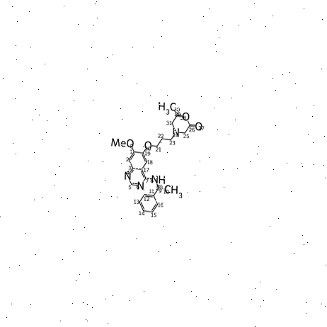 COc1cc2ncnc(N[C@H](C)c3ccccc3)c2cc1OCCCN1CC(=O)O[C@@H](C)C1